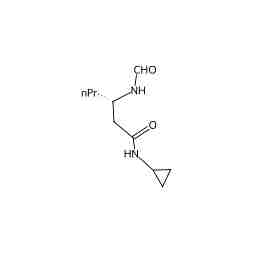 CCC[C@@H](CC(=O)NC1CC1)NC=O